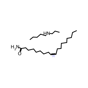 CCCCCCCC/C=C\CCCCCCCC(N)=O.CCCCCNCCC